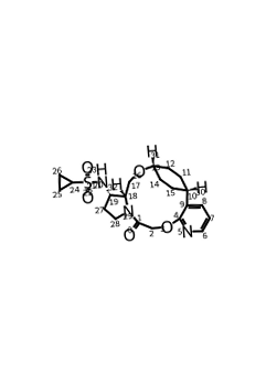 O=C1COc2ncccc2[C@H]2CC[C@H](CC2)OC[C@H]2[C@@H](NS(=O)(=O)C3CC3)CCN12